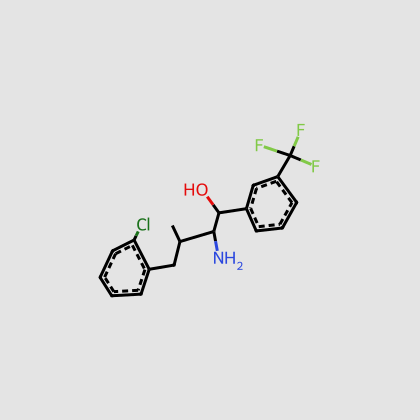 CC(Cc1ccccc1Cl)C(N)C(O)c1cccc(C(F)(F)F)c1